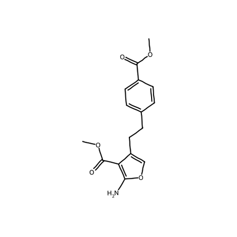 COC(=O)c1ccc(CCc2coc(N)c2C(=O)OC)cc1